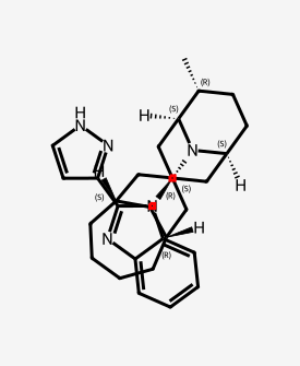 C[C@@H]1CC[C@H]2C[C@@H](n3c(-c4cc[nH]n4)nc4ccccc43)C[C@@H]1N2[C@@H]1C[C@@H]2CCCC[C@@H](C2)C1